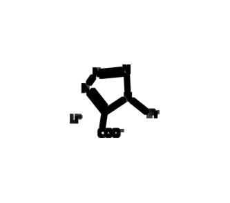 CC(C)n1nnnc1C(=O)[O-].[Li+]